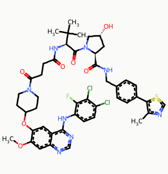 COc1cc2ncnc(Nc3ccc(Cl)c(Cl)c3F)c2cc1OC1CCN(C(=O)CCC(=O)N[C@H](C(=O)N2C[C@H](O)C[C@H]2C(=O)NCc2ccc(-c3scnc3C)cc2)C(C)(C)C)CC1